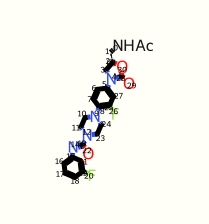 CC(=O)NC[C@H]1CN(c2ccc(N3CCN(c4nc5cccc(F)c5o4)CC3)c(F)c2)C(=O)O1